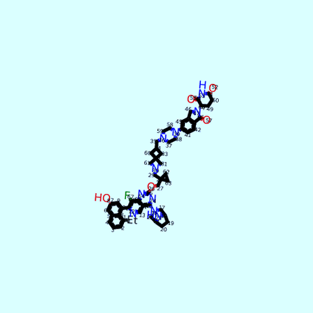 CCc1cccc2cc(O)cc(-c3ncc4c(N5CC6CCC(C5)N6)nc(OCC5(CN6CC7(CC(CN8CCN(c9ccc%10c(c9)CN([C@H]9CCC(=O)NC9=O)C%10=O)CC8)C7)C6)CC5)nc4c3F)c12